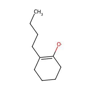 CCCCC1=C([O])CCCC1